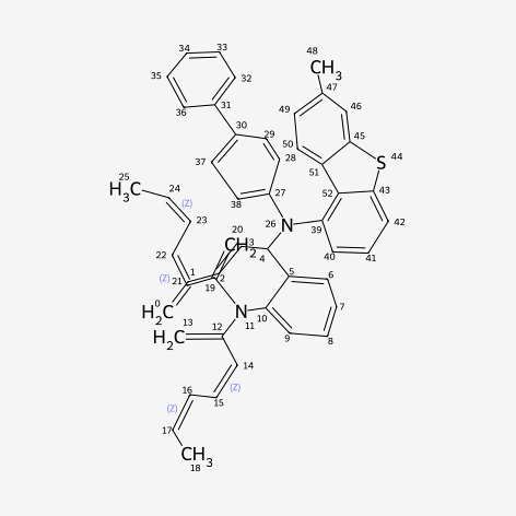 C=CC=CC(c1ccccc1N(C(=C)/C=C\C=C/C)C(=C)/C=C\C=C/C)N(c1ccc(-c2ccccc2)cc1)c1cccc2sc3cc(C)ccc3c12